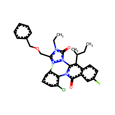 CCC(C)c1c(-n2nc(COCc3ccccc3)n(CC)c2=O)n(-c2c(F)cccc2Cl)c(=O)c2cc(F)ccc12